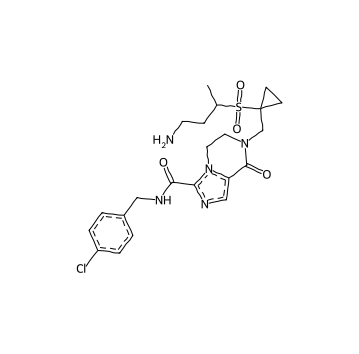 CC(CCN)S(=O)(=O)C1(CN2CCn3c(cnc3C(=O)NCc3ccc(Cl)cc3)C2=O)CC1